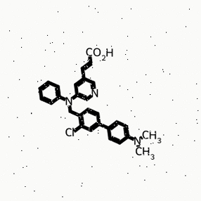 CN(C)c1ccc(-c2ccc(CN(c3ccccc3)c3cncc(/C=C/C(=O)O)c3)c(Cl)c2)cc1